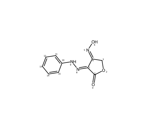 O=C1OCC(=NO)C1=NNc1ccccc1